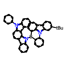 CC(C)(C)c1ccc2c3cccc4c3n(c2c1)-c1ccccc1B4n1c2ccccc2c2ccc3c(c4ccccc4n3-c3ccccc3)c21